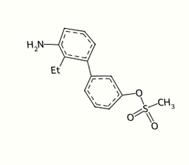 CCc1c(N)cccc1-c1cccc(OS(C)(=O)=O)c1